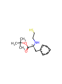 CC(C)(C)OC(=O)[C@H](Cc1ccccc1)NCCS